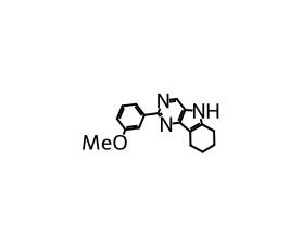 COc1cccc(-c2ncc3[nH]c4c(c3n2)CCCC4)c1